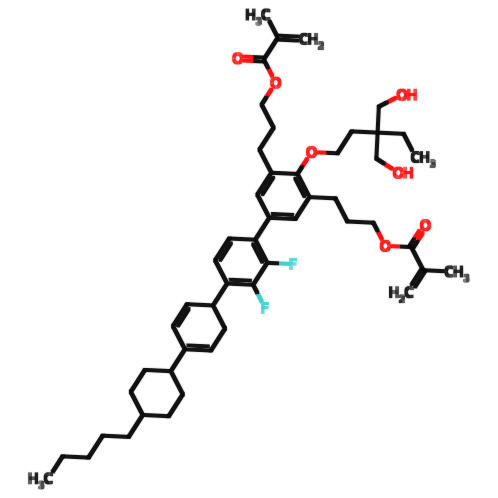 C=C(C)C(=O)OCCCc1cc(-c2ccc(C3C=CC(C4CCC(CCCCC)CC4)=CC3)c(F)c2F)cc(CCCOC(=O)C(=C)C)c1OCCC(CC)(CO)CO